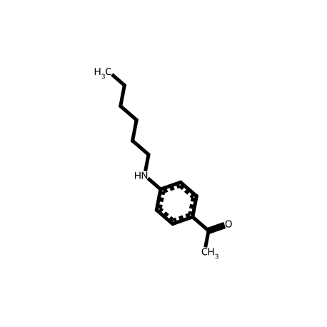 CCCCCCNc1ccc(C(C)=O)cc1